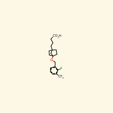 O=C(O)CCCC12CCC(OCc3cccc(C(F)(F)F)c3F)(CC1)C2